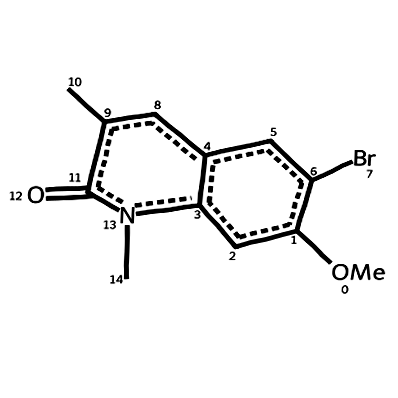 COc1cc2c(cc1Br)cc(C)c(=O)n2C